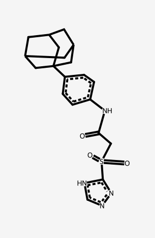 O=C(CS(=O)(=O)c1nnc[nH]1)Nc1ccc(C23CC4CC(CC(C4)C2)C3)cc1